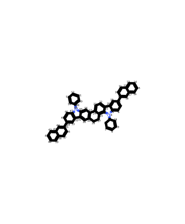 C1=CCC(n2c3ccc(-c4ccc5ccccc5c4)cc3c3ccc4c(c32)CCc2cc3c5cc(-c6ccc7ccccc7c6)ccc5n(-c5ccccc5)c3cc2-4)C=C1